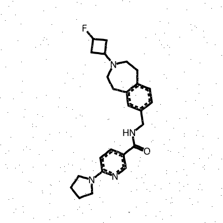 O=C(NCc1ccc2c(c1)CCN(C1CC(F)C1)CC2)c1ccc(N2CCCC2)nc1